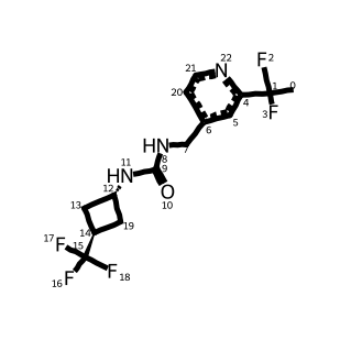 CC(F)(F)c1cc(CNC(=O)N[C@H]2C[C@H](C(F)(F)F)C2)ccn1